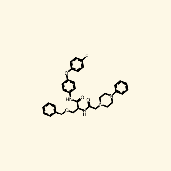 O=C(CN1CCN(c2ccccc2)CC1)NC(COCc1ccccc1)C(=O)Nc1ccc(Oc2ccc(F)cc2)cc1